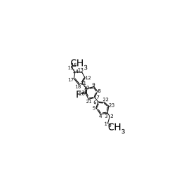 CCCc1ccc(-c2ccc(C3=CCC(CC)C=C3)c(F)c2)cc1